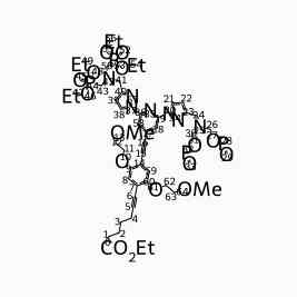 CCOC(=O)CCCCC#Cc1cc(OCCOC)c(C#Cc2cc(-n3ccc(CN(COP=O)COP=O)n3)nc(-n3ccc(CN(CP(=O)(OCC)OCC)CP(=O)(OCC)OCC)n3)c2)cc1OCCOC